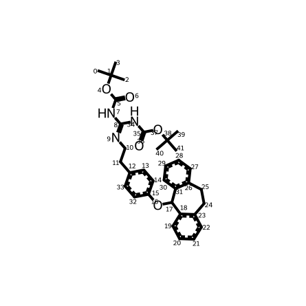 CC(C)(C)OC(=O)NC(=NCCc1ccc(OC2c3ccccc3CCc3ccccc32)cc1)NC(=O)OC(C)(C)C